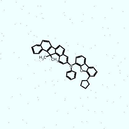 CC1(C)c2c(ccc3ccccc23)-c2ccc3cc(N(c4ccccc4)c4cccc5c4oc4c(C6CCCC6)cccc45)ccc3c21